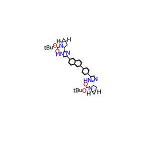 CC(C)(C)OC(=O)N1[C@@H]2C[C@@H]2C[C@H]1c1nc(-c2ccc3cc(-c4ccc(-c5cnc([C@@H]6C[C@H]7C[C@H]7N6C(=O)OC(C)(C)C)[nH]5)cc4)ccc3c2)c[nH]1